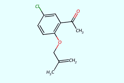 C=C(C)COc1ccc(Cl)cc1C(C)=O